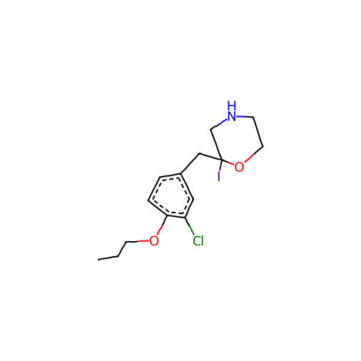 CCCOc1ccc(CC2(I)CNCCO2)cc1Cl